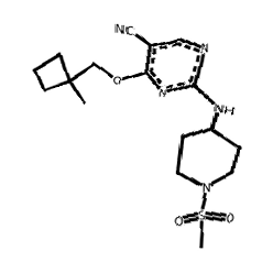 CC1(COc2nc(NC3CCN(S(C)(=O)=O)CC3)ncc2C#N)CCC1